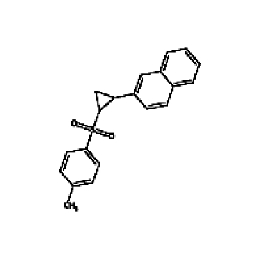 Cc1ccc(S(=O)(=O)C2CC2c2ccc3ccccc3c2)cc1